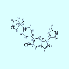 Cn1cc(-n2ncc3cc(Cl)c(C4CCN([C@@]5(C)CCOC5)CC4)cc32)cn1